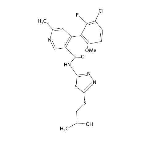 COc1ccc(Cl)c(F)c1-c1cc(C)ncc1C(=O)Nc1nnc(SCC(C)O)s1